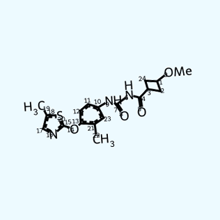 COC1CC(C(=O)NC(=O)Nc2ccc(Oc3ncc(C)s3)c(C)c2)C1